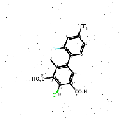 Cc1c(-c2ccc(C(F)(F)F)cc2F)cc(C(=O)O)c(Cl)c1C(=O)O